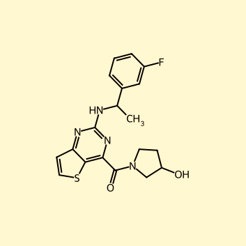 CC(Nc1nc(C(=O)N2CCC(O)C2)c2sccc2n1)c1cccc(F)c1